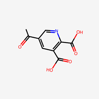 CC(=O)c1cnc(C(=O)O)c(C(=O)O)c1